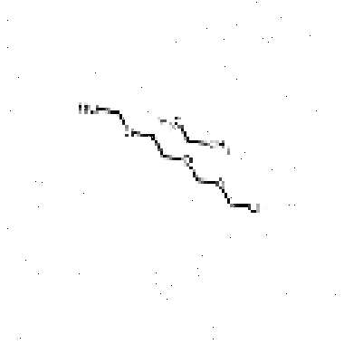 CCC.OCOCCOCOCO